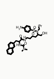 CC(C)CN(C(CO)CCCCNC(=O)C(Cc1ccc2ccccc2c1)NC(=O)N(C)C)S(=O)(=O)c1ccc(N)cc1